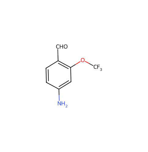 Nc1ccc(C=O)c(OC(F)(F)F)c1